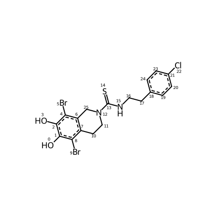 Oc1c(O)c(Br)c2c(c1Br)CCN(C(=S)NCCc1ccc(Cl)cc1)C2